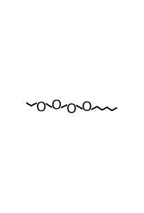 CCCCCCOCCOCCOCCOCCC